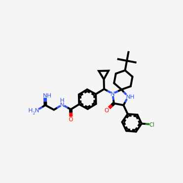 CC(C)(C)C1CCC2(CC1)NC(c1cccc(Cl)c1)C(=O)N2C(c1ccc(C(=O)NCC(=N)N)cc1)C1CC1